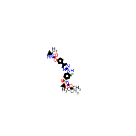 CC1(NC(=O)OC2CCC(c3cnc(Nc4ccc(S(=O)(=NC(=O)OC(C)(C)C)C5CC5)cc4F)nc3)C2)CC1